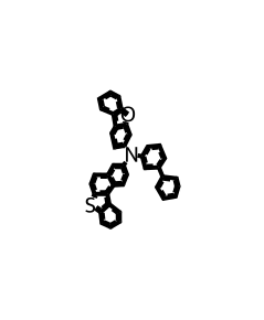 c1ccc(-c2cccc(N(c3ccc4c(ccc5sc6ccccc6c54)c3)c3ccc4c(c3)oc3ccccc34)c2)cc1